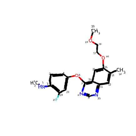 CNc1ccc(Oc2ncnc3cc(C)c(OCCOC)cc23)cc1F